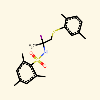 Cc1cc(C)c(S(=O)(=O)NC(I)(CSc2cc(C)ccc2C)C(F)(F)F)c(C)c1